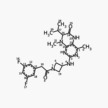 Cc1nc(NC2CN(C(=O)Cc3cc(F)cc(F)c3)C2)nc2c1NC(=O)C(C(C)C)N2C